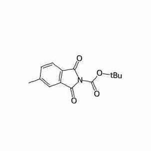 Cc1ccc2c(c1)C(=O)N(C(=O)OC(C)(C)C)C2=O